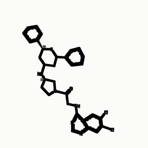 O=C(CNc1ncnc2cc(Cl)c(Cl)cc12)N1CC[C@@H](NC2CC(c3ccccc3)S[C@@H](c3ccccc3)C2)C1